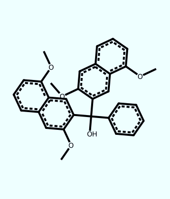 COc1cc2cccc(OC)c2cc1C(O)(c1ccccc1)c1cc2c(OC)cccc2cc1OC